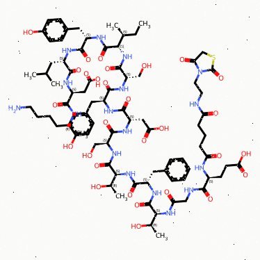 CC[C@H](C)[C@H](NC(=O)[C@H](CO)NC(=O)[C@H](Cc1ccc(O)cc1)NC(=O)[C@H](CC(=O)O)NC(=O)[C@H](CO)NC(=O)[C@@H](NC(=O)[C@H](Cc1ccccc1)NC(=O)[C@@H](NC(=O)CNC(=O)[C@H](CCC(=O)O)NC(=O)CCCC(=O)NCCN1C(=O)CSC1=O)[C@@H](C)O)[C@@H](C)O)C(=O)N[C@@H](Cc1ccc(O)cc1)C(=O)N[C@@H](CC(C)C)C(=O)N[C@@H](CC(=O)O)C(=O)N[C@H](C)CCCCN